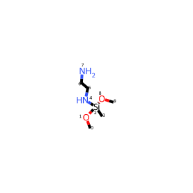 CO[Si](C)(NCCN)OC